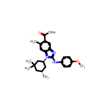 COC(=O)c1cc2nc(Nc3ccc(OC(F)(F)F)cc3)n([C@H]3C[C@H](C)CC(C)(C)C3)c2cc1C